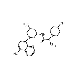 C[C@H]1C[C@@H](NC(=O)[C@@H](C)N2CCC(O)CC2)CN(c2ccc(C#N)c3nccnc23)C1